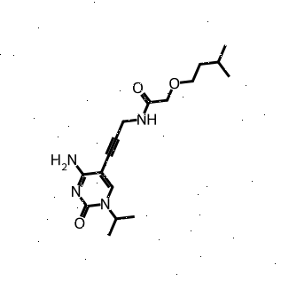 CC(C)CCOCC(=O)NCC#Cc1cn(C(C)C)c(=O)nc1N